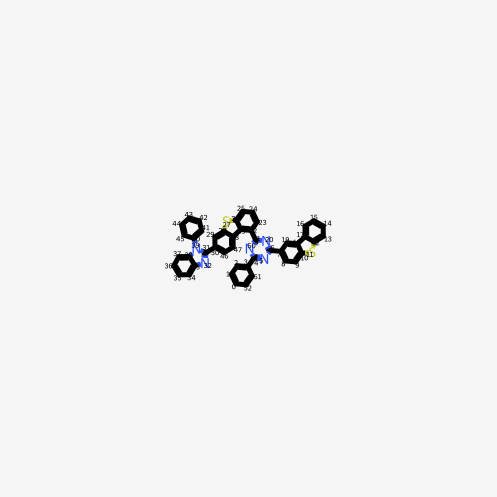 c1ccc(-c2nc(-c3ccc4sc5ccccc5c4c3)nc(-c3cccc4sc5cc(-c6nc7ccccc7n6-c6ccccc6)ccc5c34)n2)cc1